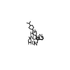 CC(=O)NCc1c(/C=N\O)c2cccnc2n1C1CCN(C2CCC(C(C)C)CC2)CC1